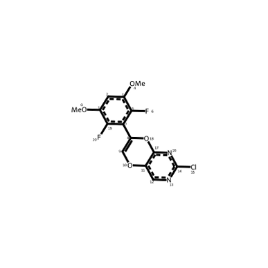 COc1cc(OC)c(F)c(C2=COc3cnc(Cl)nc3O2)c1F